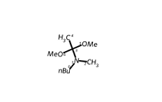 CCCCN(C)C(C)(OC)OC